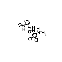 CNc1cc(Cl)c(Cl)cc1NC(=O)/C=C/c1cccnc1NC1CCC1